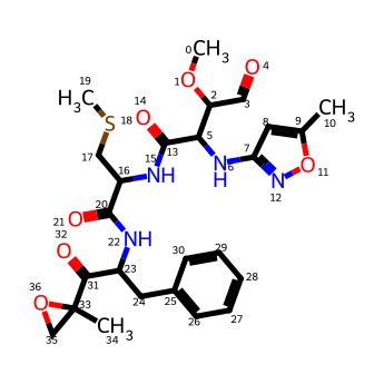 COC(C=O)C(Nc1cc(C)on1)C(=O)NC(CSC)C(=O)NC(Cc1ccccc1)C(=O)C1(C)CO1